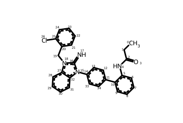 CCC(=O)Nc1ccccc1-c1ccc(-n2c(=N)n(Cc3ccccc3Cl)c3ccccc32)cc1